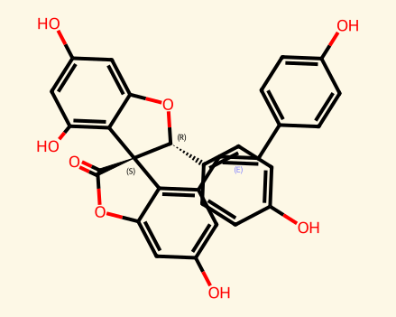 O=C1Oc2cc(O)cc(/C=C/c3ccc(O)cc3)c2[C@@]12c1c(O)cc(O)cc1O[C@@H]2c1ccc(O)cc1